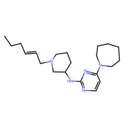 CCCC=CCN1CCCC(Nc2nccc(N3CCCCCC3)n2)C1